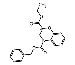 CCOC(=O)[C@@H]1CN(C(=O)OCc2ccccc2)c2ccccc2O1